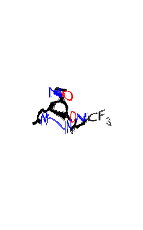 Cc1ccc(-c2cc(C(=O)N[C@H](C)c3ccc(C(F)(F)F)nc3)cc(-c3ncco3)c2)nc1